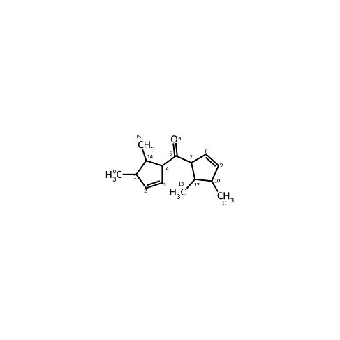 CC1C=CC(C(=O)C2C=CC(C)C2C)C1C